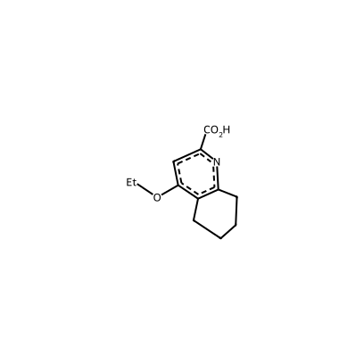 CCOc1cc(C(=O)O)nc2c1CCCC2